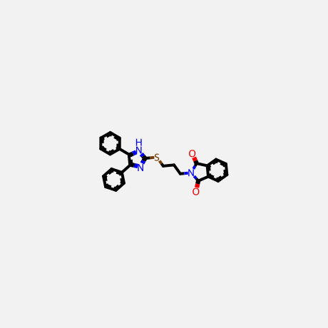 O=C1c2ccccc2C(=O)N1CCCSc1nc(-c2ccccc2)c(-c2ccccc2)[nH]1